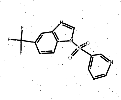 O=S(=O)(c1cccnc1)n1cnc2cc(C(F)(F)F)ccc21